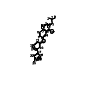 CC(C)Cn1cnc2ccc(Oc3ccnc(-c4cnn(C)c4)c3)cc2c1=O